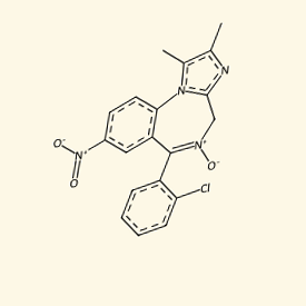 Cc1nc2n(c1C)-c1ccc([N+](=O)[O-])cc1C(c1ccccc1Cl)=[N+]([O-])C2